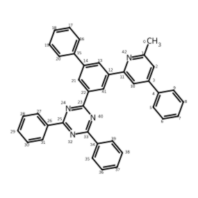 Cc1cc(-c2ccccc2)cc(-c2cc(-c3ccccc3)cc(-c3nc(-c4ccccc4)nc(-c4ccccc4)n3)c2)n1